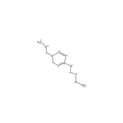 COCCOC1=CCC(COC)C=C1